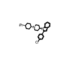 CC(C)[C@H]1CC[C@@H](N2CCC(n3c(-c4ccc(Cl)cc4)cc4ccccc43)CC2)CC1